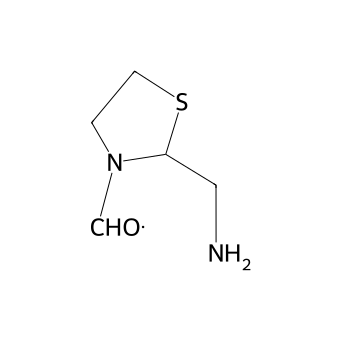 NCC1SCCN1[C]=O